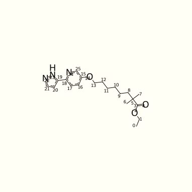 CCOC(=O)C(C)(C)CCCCCCOc1ccc(-c2ccn[nH]2)nc1